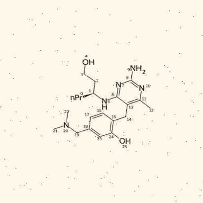 CCC[C@@H](CCO)Nc1nc(N)nc(C)c1Cc1ccc(CN(C)C)cc1O